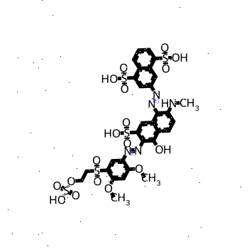 CNc1ccc2c(O)c(/N=N/c3cc(S(=O)(=O)CCOS(=O)(=O)O)c(OC)cc3OC)c(S(=O)(=O)O)cc2c1/N=N/c1cc(S(=O)(=O)O)c2cccc(S(=O)(=O)O)c2c1